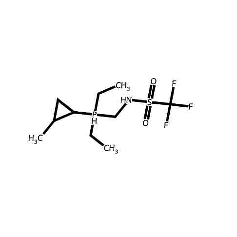 CC[PH](CC)(CNS(=O)(=O)C(F)(F)F)C1CC1C